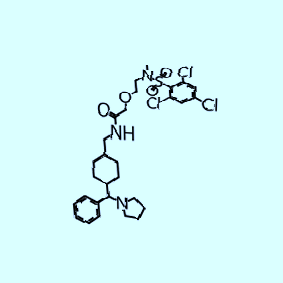 CN(CCOCC(=O)NCC1CCC(C(c2ccccc2)N2CCCC2)CC1)S(=O)(=O)c1c(Cl)cc(Cl)cc1Cl